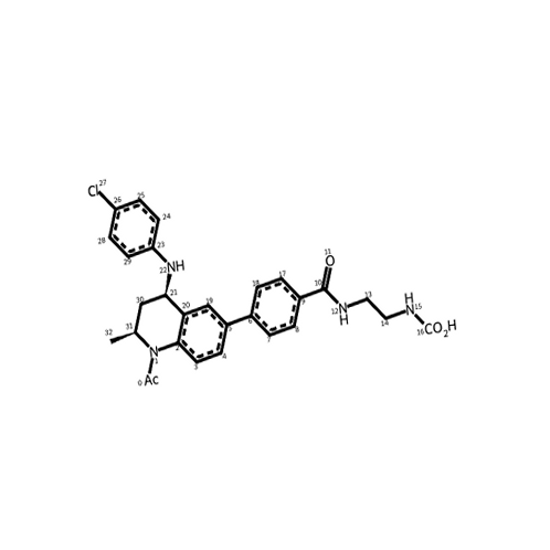 CC(=O)N1c2ccc(-c3ccc(C(=O)NCCNC(=O)O)cc3)cc2[C@H](Nc2ccc(Cl)cc2)C[C@@H]1C